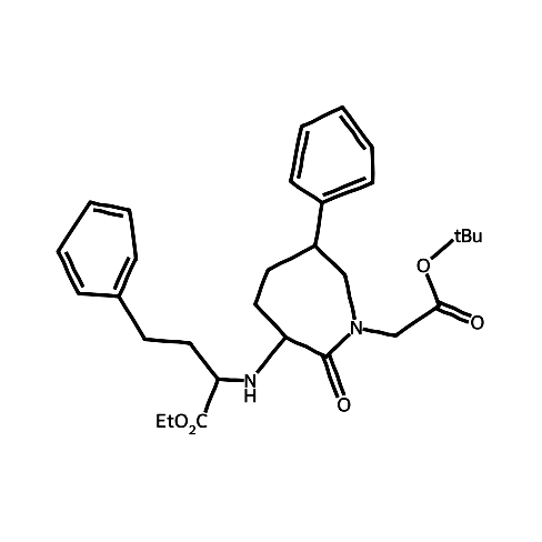 CCOC(=O)C(CCc1ccccc1)NC1CCC(c2ccccc2)CN(CC(=O)OC(C)(C)C)C1=O